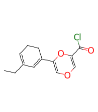 CCC1=CCCC(C2=COC=C(C(=O)Cl)O2)=C1